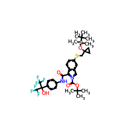 CC(C)(C)OC(=O)n1cc2cc(SCC3(O[Si](C)(C)C(C)(C)C)CC3)ccc2c1C(=O)Nc1ccc(C(O)(C(F)(F)F)C(F)(F)F)cc1